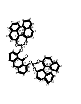 O=C1c2c(cccc2Op2oc3ccc4ccccc4c3c3c(ccc4ccccc43)o2)Cc2cccc(Op3oc4ccc5ccccc5c4c4c(ccc5ccccc54)o3)c21